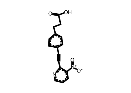 O=C(O)CCc1ccc(C#Cc2ncccc2[N+](=O)[O-])cc1